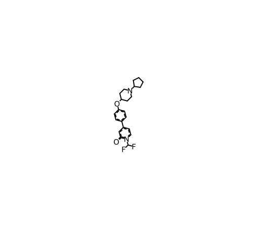 O=c1cc(-c2ccc(OC3CCN(C4CCCC4)CC3)cc2)ccn1C(F)F